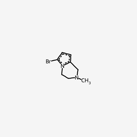 CN1CCn2c(Br)ccc2C1